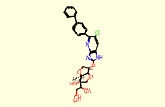 OCC(O)[C@@]1(O)COC2[C@H](Oc3nc4nc(-c5ccc(-c6ccccc6)cc5)c(Cl)cc4[nH]3)CO[C@@H]21